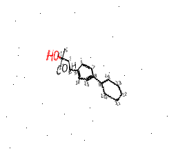 CC(O)(CCc1ccc(C2CCCCC2)cc1)C(=O)O